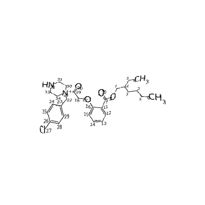 CCCCC(CC)COC(=O)c1ccccc1OCC(=O)[N+]1(Cc2ccc(Cl)cc2)CCNCC1